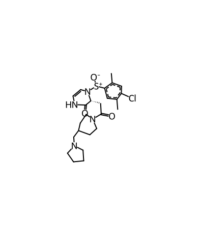 Cc1cc([S+]([O-])N2C=CNC(=O)[C@H]2CC(=O)N2CCC(CN3CCCC3)CC2)c(C)cc1Cl